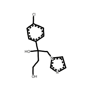 OCCC(O)(Cn1ccnc1)c1ccc(Cl)cc1